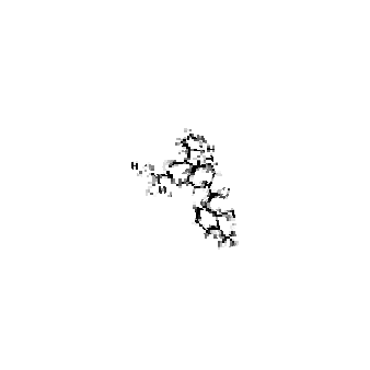 CN(C)C1=NC2CN(C(=O)c3cccc(C(F)(F)F)c3Cl)CCC2(C)C(c2ccn[nH]2)=N1